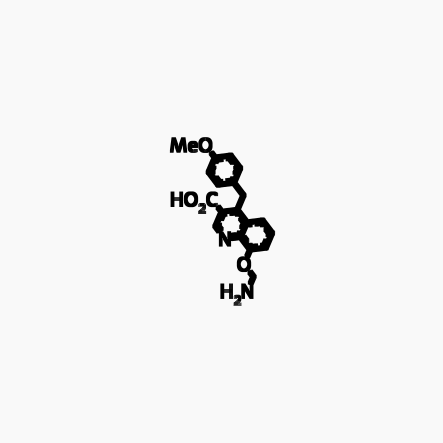 COc1ccc(Cc2c(C(=O)O)cnc3c(OCN)cccc23)cc1